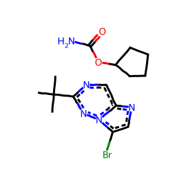 CC(C)(C)c1ncc2ncc(Br)n2n1.NC(=O)OC1CCCC1